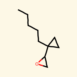 CCCCCC1(C2CO2)CC1